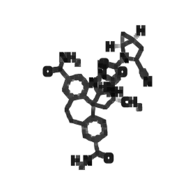 C[C@H](CC1(c2n[nH]c(=O)[nH]2)c2ccc(C(N)=O)cc2CCc2cc(C(N)=O)ccc21)NCC(=O)N1C(C#N)C[C@@H]2C[C@@H]21